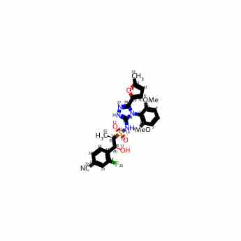 COc1cccc(OC)c1-n1c(NS(=O)(=O)[C@@H](C)[C@H](O)c2ccc(C#N)cc2F)nnc1-c1ccc(C)o1